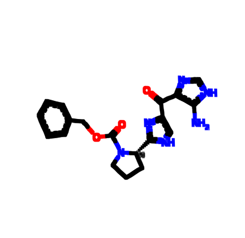 Nc1[nH]cnc1C(=O)c1c[nH]c([C@@H]2CCCN2C(=O)OCc2ccccc2)n1